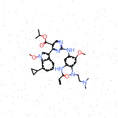 C=CC(=O)Nc1cc(Nc2ncc(C(=O)OC(C)C)c(-c3cn(OC)c4c(C5CC5)cccc34)n2)c(OC)cc1N(C)CCN(C)C